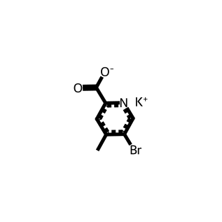 Cc1cc(C(=O)[O-])ncc1Br.[K+]